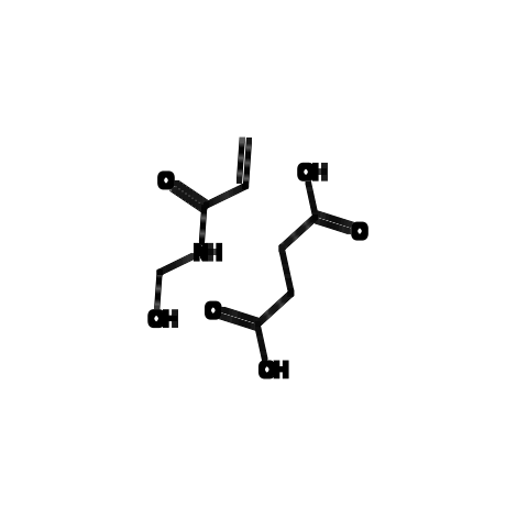 C=CC(=O)NCO.O=C(O)CCC(=O)O